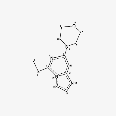 CSc1nc(N2CCOCC2)cc2nccn12